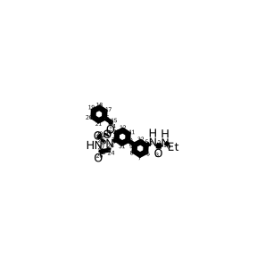 CCNC(=O)Nc1cccc(-c2ccc(OCc3ccccc3)c(N3CC(=O)NS3(=O)=O)c2)c1